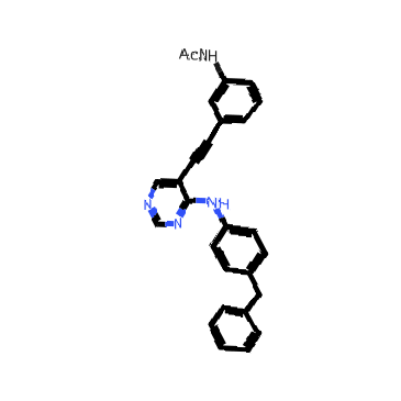 CC(=O)Nc1cccc(C#Cc2cncnc2Nc2ccc(Cc3ccccc3)cc2)c1